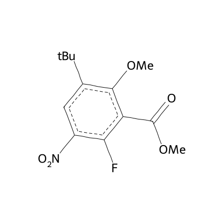 COC(=O)c1c(F)c([N+](=O)[O-])cc(C(C)(C)C)c1OC